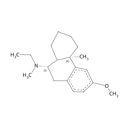 CCN(C)[C@H]1Cc2ccc(OC)cc2[C@]2(C)CCCCC12